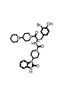 O=C(N[C@H](Cc1ccc(O)c(Br)c1)C(=O)N1CCC(N2CCCCC2)CC1)N1CCC(n2c(=O)[nH]c3ccccc32)CC1